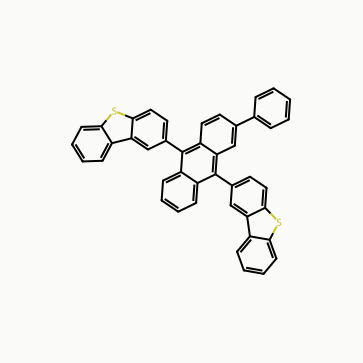 c1ccc(-c2ccc3c(-c4ccc5sc6ccccc6c5c4)c4ccccc4c(-c4ccc5sc6ccccc6c5c4)c3c2)cc1